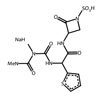 CNC(=O)N(C)C(=O)NC(C(=O)NC1CN(S(=O)(=O)O)C1=O)c1cccs1.[NaH]